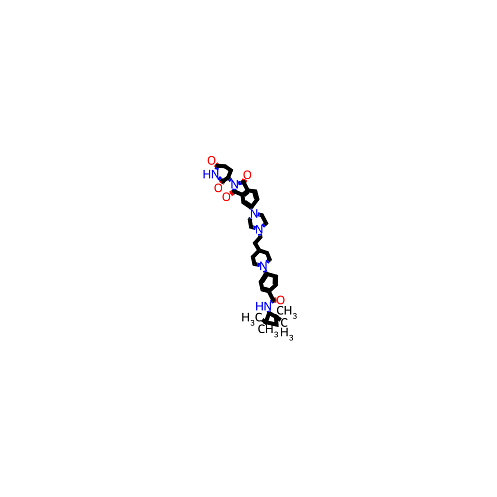 CC1(C)CC(C)(C)C1NC(=O)c1ccc(N2CCC(CCN3CCN(c4ccc5c(c4)C(=O)N(C4CCC(=O)NC4=O)C5=O)CC3)CC2)cc1